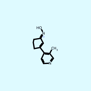 Cc1cnccc1C1=C/C(=N/O)CCC1